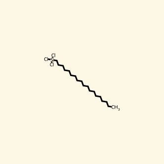 CCCCCCCCCCCCCCCCCCC[Si](Cl)(Cl)Cl